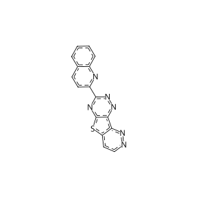 c1ccc2nc(-c3nnc4c(n3)sc3ccnnc34)ccc2c1